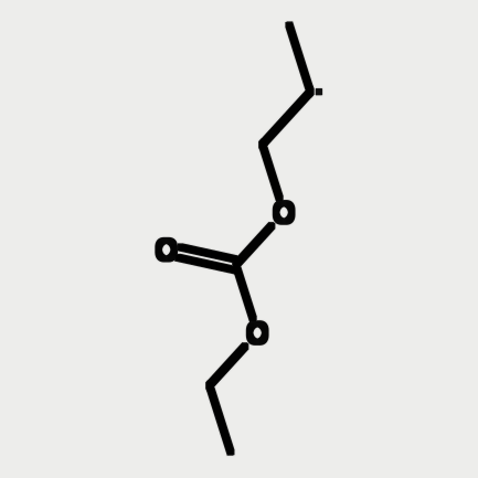 C[CH]COC(=O)OCC